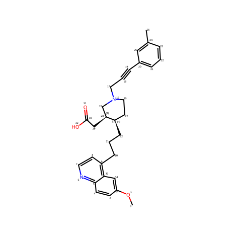 COc1ccc2nccc(CCC[C@@H]3CCN(CC#Cc4cccc(C)c4)C[C@@H]3CC(=O)O)c2c1